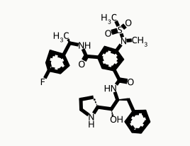 C[C@@H](NC(=O)c1cc(C(=O)N[C@@H](Cc2ccccc2)[C@H](O)[C@H]2CCCN2)cc(N(C)S(C)(=O)=O)c1)c1ccc(F)cc1